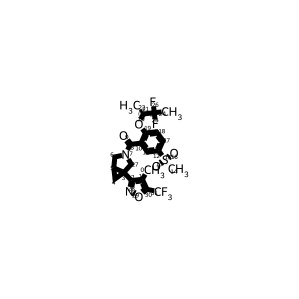 Cc1c(C23CC2CN(C(=O)c2cc(S(C)(=O)=O)ccc2O[C@@H](C)C(C)(F)F)C3)noc1C(F)(F)F